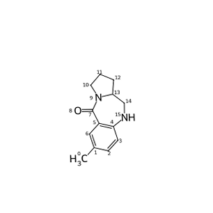 Cc1ccc2c(c1)C(=O)N1CCCC1CN2